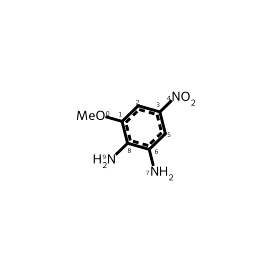 COc1cc([N+](=O)[O-])cc(N)c1N